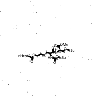 CCCCCCCC(=O)OCCSCC(NC(=O)OC(C)(C)C)C(=O)NC(COC(C)(C)C)C(=O)OC